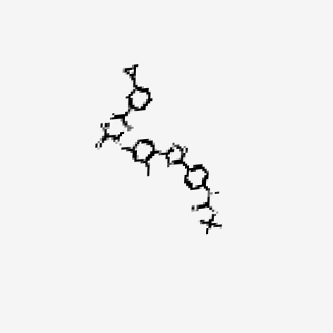 CC(C)(C)OC(=O)Nc1ccc(-c2nc(-c3ccc(C[C@@H](NC(=O)c4cccc(C5CC5)c4)C(=O)O)cc3F)no2)cc1